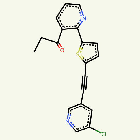 CCC(=O)c1cccnc1-c1ccc(C#Cc2cncc(Cl)c2)s1